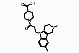 Cc1ccc2c(c1)c1c(n2CCC(=O)N2CCC(C(=O)O)CC2)CCN(C)C1